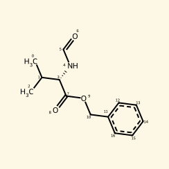 CC(C)[C@H](NC=O)C(=O)OCc1ccccc1